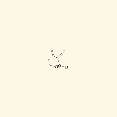 C=CC#N.C=CC(=O)OCC